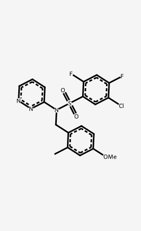 COc1ccc(CN(c2cccnn2)S(=O)(=O)c2cc(Cl)c(F)cc2F)c(C)c1